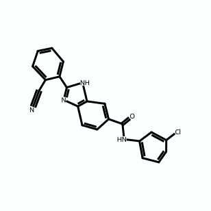 N#Cc1ccccc1-c1nc2ccc(C(=O)Nc3cccc(Cl)c3)cc2[nH]1